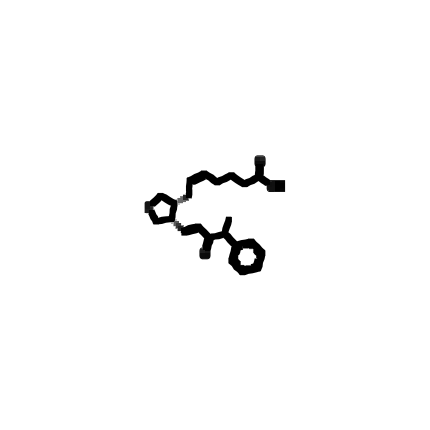 CC(C(=O)/C=C/[C@@H]1CSC[C@@H]1C/C=C\CCCC(=O)O)c1ccccc1